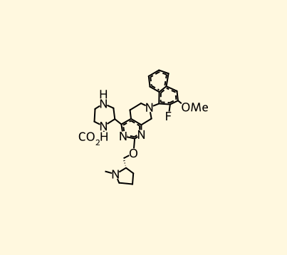 COc1cc2ccccc2c(N2CCc3c(nc(OC[C@@H]4CCCN4C)nc3C3CNCCN3C(=O)O)C2)c1F